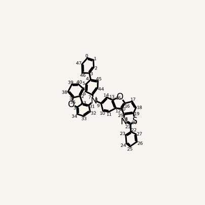 c1ccc(-c2ccc(N(c3ccc4c(c3)oc3ccc5sc(-c6ccccc6)nc5c34)c3cccc4oc5ccccc5c34)cc2)cc1